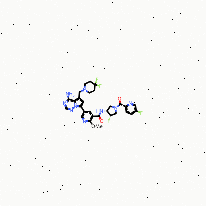 COc1ncc(-c2cc(CN3CCC(F)(F)CC3)c3c(N)ncnn23)cc1C(=O)N[C@@H]1CN(C(=O)c2ccc(F)cn2)C[C@@H]1F